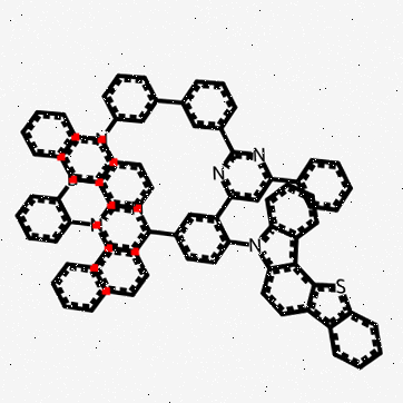 c1ccc(-c2cc(-c3ccc(-n4c5ccccc5c5c6sc7ccccc7c6ccc54)c(-c4cc(-c5ccccc5)nc(-c5cccc(-c6cccc(N7c8ccccc8B8c9ccccc9N(c9ccccc9)c9cccc7c98)c6)c5)n4)c3)nc(-c3ccccc3)n2)cc1